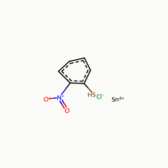 O=[N+]([O-])c1ccccc1S.[Cl-].[Sn+4]